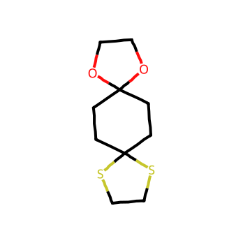 C1COC2(CCC3(CC2)SCCS3)O1